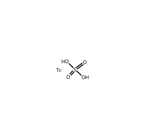 O=S(=O)(O)O.[Tc]